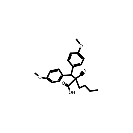 CCCCC(C#N)(C(=O)O)C(c1ccc(OC)cc1)c1ccc(OC)cc1